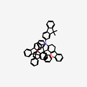 CC1(C)c2ccccc2-c2ccc(N(C3=C(C4(c5ccccc5)c5ccccc5-c5ccccc54)c4oc5ccccc5c4CC3)c3ccc4c(c3)C(c3cc#ccc3)(c3ccccc3)c3ccccc3-4)cc21